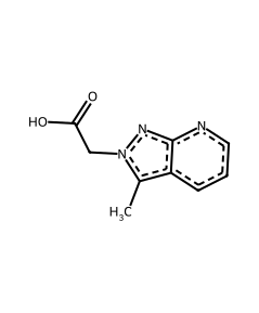 Cc1c2cccnc2nn1CC(=O)O